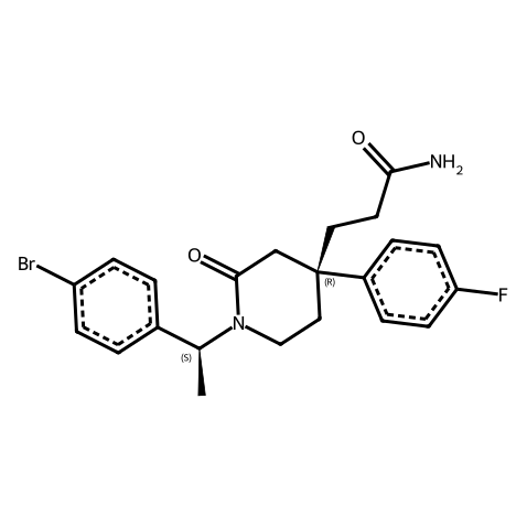 C[C@@H](c1ccc(Br)cc1)N1CC[C@@](CCC(N)=O)(c2ccc(F)cc2)CC1=O